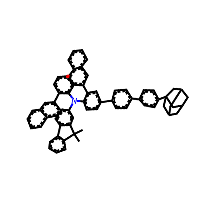 CC1(C)c2ccccc2-c2ccc(N(c3ccccc3-c3ccc4ccccc4c3)c3ccc(-c4ccc(-c5ccc(C67CC8CC(CC(C8)C6)C7)cc5)cc4)cc3-c3ccc4ccccc4c3)cc21